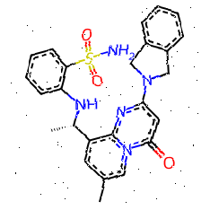 Cc1cc([C@H](C)Nc2ccccc2S(N)(=O)=O)c2nc(N3Cc4ccccc4C3)cc(=O)n2c1